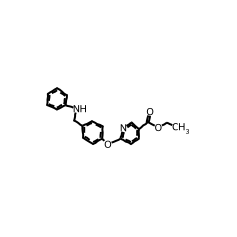 CCOC(=O)c1ccc(Oc2ccc(CNc3ccccc3)cc2)nc1